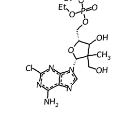 CCOP(=O)(OCC)OC[C@H]1O[C@@H](n2cnc3c(N)nc(Cl)nc32)C(C)(CO)C1O